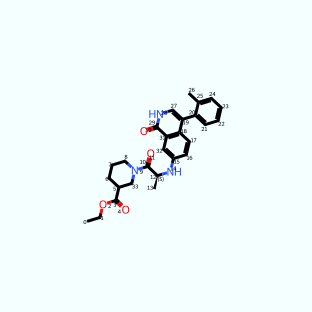 CCOC(=O)C1CCCN(C(=O)[C@H](C)Nc2ccc3c(-c4ccccc4C)c[nH]c(=O)c3c2)C1